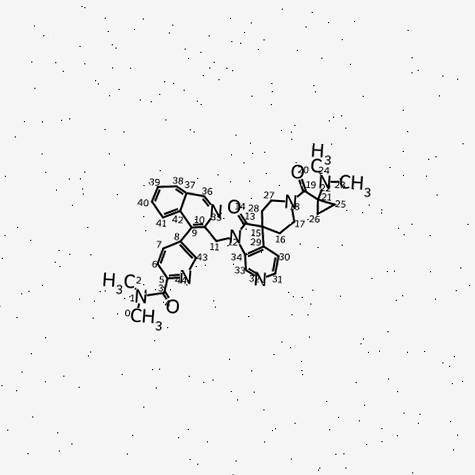 CN(C)C(=O)c1ccc(-c2c(CN3C(=O)C4(CCN(C(=O)C5(N(C)C)CC5)CC4)c4ccncc43)ncc3ccccc23)cn1